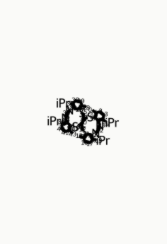 Cc1ccc(C(C)C)c2c1SCC1(CSc3c(C)ccc(C(C)C)c3N=C=N2)CSc2c(C)ccc(C(C)C)c2N=C=Nc2c(C(C)C)ccc(C)c2SC1